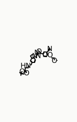 COCCOc1ccc(-c2nc(N3CCc4cc(CNCCC(=O)OC(C)(C)C)ccc43)no2)cc1C#N